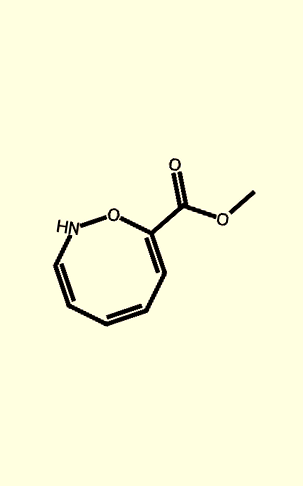 COC(=O)c1ccccc[nH]o1